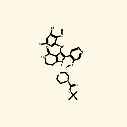 COc1c(Cl)cc(F)cc1Nc1c(-c2ccncc2OC[C@@H]2CN(C(=O)OC(C)(C)C)CCO2)[nH]c2c1C(=O)NCC2